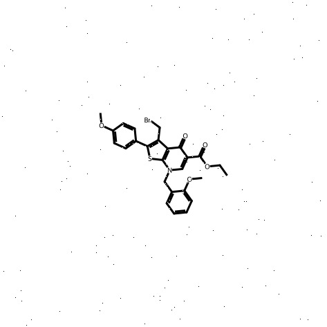 CCOC(=O)c1cn(Cc2ccccc2OC)c2sc(-c3ccc(OC)cc3)c(CBr)c2c1=O